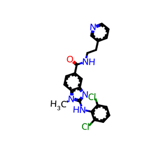 Cn1c(Nc2c(Cl)cccc2Cl)nc2cc(C(=O)NCCc3cccnc3)ccc21